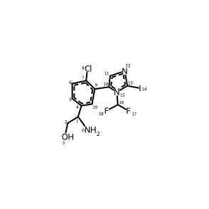 NC(CO)c1ccc(Cl)c(-c2cnc(I)n2C(F)F)c1